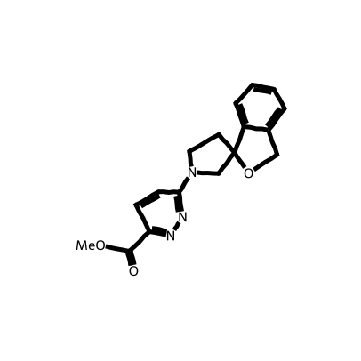 COC(=O)c1ccc(N2CCC3(C2)OCc2ccccc23)nn1